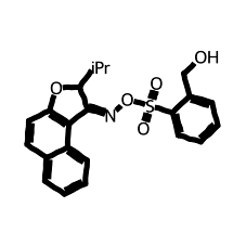 CC(C)C1Oc2ccc3ccccc3c2/C1=N/OS(=O)(=O)c1ccccc1CO